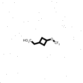 O=C(O)CC1CC(OC(F)(F)F)C1